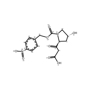 O=C(O)CC(=O)[C@@H]1C[C@@H](O)CN1C(=O)OCc1ccc([N+](=O)[O-])cc1